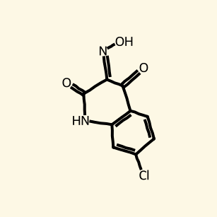 O=C1Nc2cc(Cl)ccc2C(=O)C1=NO